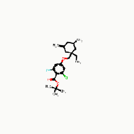 C=C1CC(C)CC(CC)(COc2cc(F)c(C(=O)OC(C)(C)C)c(Cl)c2)C1